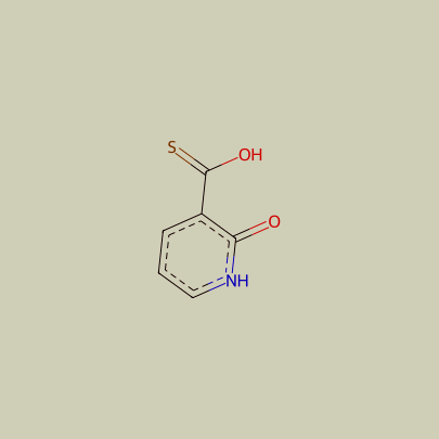 O=c1[nH]cccc1C(O)=S